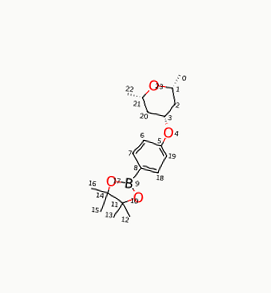 C[C@@H]1C[C@H](Oc2ccc(B3OC(C)(C)C(C)(C)O3)cc2)C[C@H](C)O1